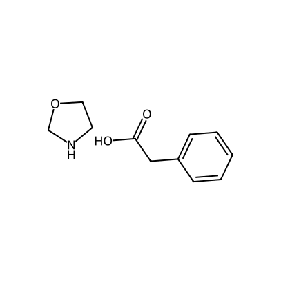 C1COCN1.O=C(O)Cc1ccccc1